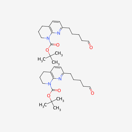 CC(C)(C)OC(=O)N1CCCc2ccc(CCCCC=O)nc21.CC(C)(C)OC(=O)N1CCCc2ccc(CCCCC=O)nc21